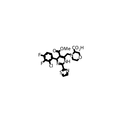 COC(=O)C1=C(CN2CCOCC2C(=O)O)NC(c2nccs2)=NC1c1ccc(F)c(F)c1Cl